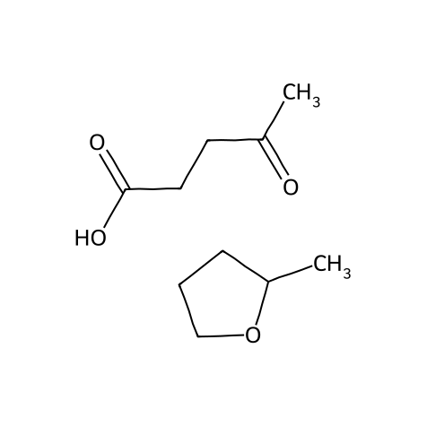 CC(=O)CCC(=O)O.CC1CCCO1